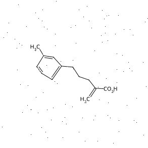 C=C(CCCc1cccc(C)c1)C(=O)O